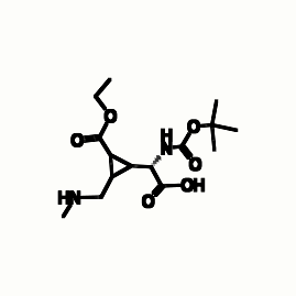 CCOC(=O)C1C(CNC)C1[C@H](NC(=O)OC(C)(C)C)C(=O)O